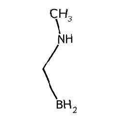 BCNC